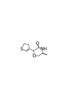 C=C1COC(C2=CSCC2)C(=O)N1